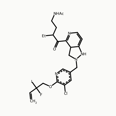 C=CC(F)(I)COc1ncc(CN2CC3C(=C=CN=C3C(=O)C(CC)CCNC(C)=O)N2)cc1Cl